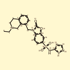 CCN1CCc2cccc(Cn3c(=O)oc4cc(S(=O)(=O)Nc5ncns5)ccc43)c2C1